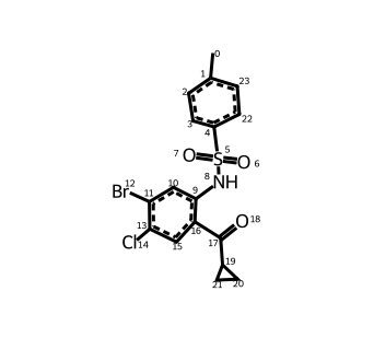 Cc1ccc(S(=O)(=O)Nc2cc(Br)c(Cl)cc2C(=O)C2CC2)cc1